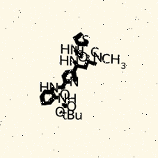 CN(C)CCCC(NC(=O)Nc1ccsc1)c1ccc(C(=O)Nc2ccccc2NC(=O)OC(C)(C)C)nc1